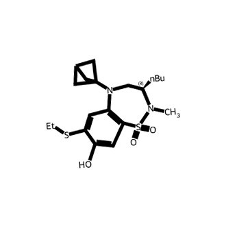 CCCC[C@@H]1CN(C23CC(C2)C3)c2cc(SCC)c(O)cc2S(=O)(=O)N1C